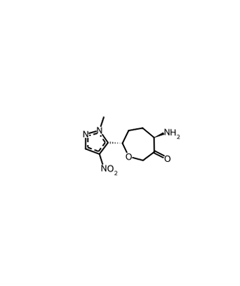 Cn1ncc([N+](=O)[O-])c1[C@@H]1CC[C@@H](N)C(=O)CO1